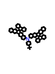 CC(C)(C)c1ccc(N(c2ccc3cc4c(cc3c2)C2(c3ccccc3-c3ccccc32)c2cc3ccccc3cc2-4)c2ccc3cc4c(cc3c2)C2(c3ccccc3-c3ccccc32)c2cc3ccccc3cc2-4)cc1